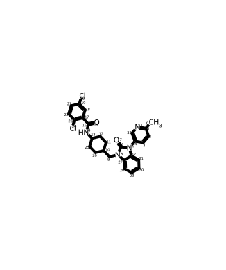 Cc1ccc(-n2c(=O)n(CC3CCC(NC(=O)c4cc(Cl)ccc4Cl)CC3)c3ccccc32)cn1